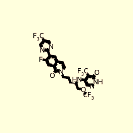 O=c1[nH]ncc(N[C@H](CCCn2ccc3cc(-c4ncc(C(F)(F)F)cn4)c(F)cc3c2=O)COC(F)(F)F)c1C(F)(F)F